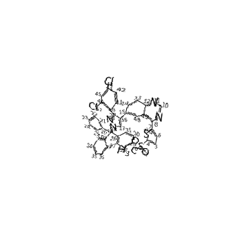 CS(=O)(=O)c1ccc(-c2ncnc3ccc(-c4cn(C(c5ccccc5)(c5ccccc5)c5ccccc5)nc4-c4ccc(Cl)cc4Cl)cc23)s1